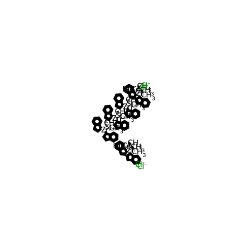 C[SiH](C)[Zr+2]([CH]1C=Cc2ccccc21)[CH]1C=Cc2ccccc21.C[SiH](C)[Zr+2]([CH]1C=Cc2ccccc21)[CH]1C=Cc2ccccc21.C[SiH](C)[Zr+2]([CH]1C=Cc2ccccc21)[CH]1C=Cc2ccccc21.[CH3][GeH]([CH3])[Zr-]([CH3])([CH3])([CH]1C=Cc2ccccc21)[CH]1C=Cc2ccccc21.[CH3][GeH]([CH3])[Zr-]([CH3])([CH3])([CH]1C=Cc2ccccc21)[CH]1C=Cc2ccccc21.[Cl-].[Cl-].[Cl-].[Cl-]